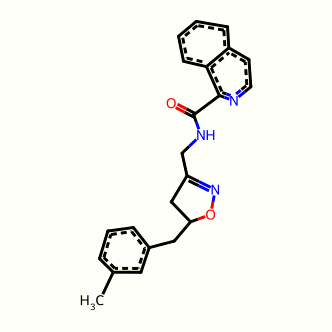 Cc1cccc(CC2CC(CNC(=O)c3nccc4ccccc34)=NO2)c1